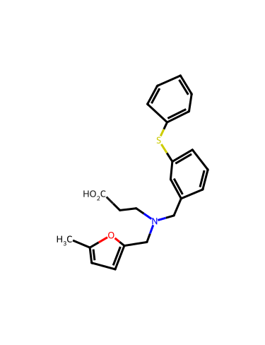 Cc1ccc(CN(CCC(=O)O)Cc2cccc(Sc3ccccc3)c2)o1